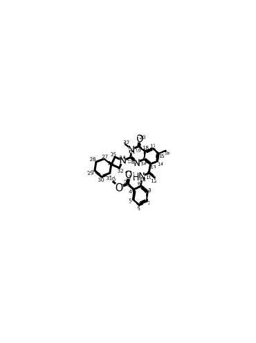 COC(=O)c1ccccc1NC(C)c1cc(C)cc2c(=O)n(C)c(N3CC4(CCCCC4)C3)nc12